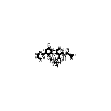 [2H]C([2H])([2H])NC(=O)c1c(Nc2cc(F)cc(-c3ncccn3)c2OC)ccnc1NC(=O)C1CC1